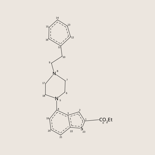 CCOC(=O)c1cc2c(N3CCN(CCc4ccccc4)CC3)cccc2s1